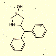 O[C@@H]1CNC(C(c2ccccc2)c2ccccc2)C1